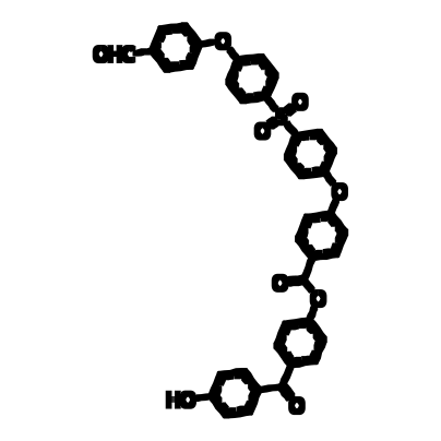 O=Cc1ccc(Oc2ccc(S(=O)(=O)c3ccc(Oc4ccc(C(=O)Oc5ccc(C(=O)c6ccc(O)cc6)cc5)cc4)cc3)cc2)cc1